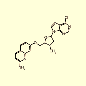 CC1CC(n2ccc3c(Cl)ncnc32)OC1COc1ccc2ccc(N)nc2c1